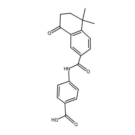 CC1(C)CCC(=O)c2cc(C(=O)Nc3ccc(C(=O)O)cc3)ccc21